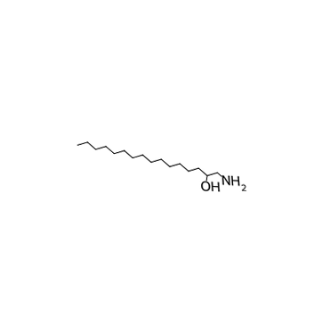 CCCCCCCCCCCCCCC(O)CN